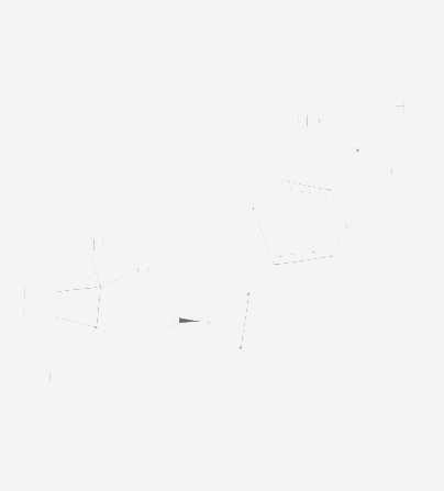 CC(C)(C)c1ccc([C@@H]2C[C@H]2B2OC(C)(C)C(C)(C)O2)cc1